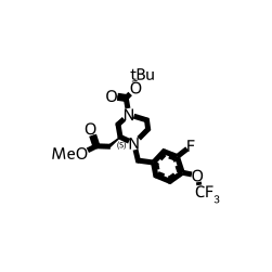 COC(=O)C[C@H]1CN(C(=O)OC(C)(C)C)CCN1Cc1ccc(OC(F)(F)F)c(F)c1